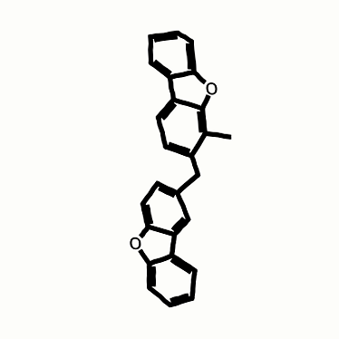 Cc1c(Cc2ccc3oc4ccccc4c3c2)ccc2c1oc1ccccc12